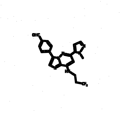 Cn1nccc1-c1cc(NCCC(F)(F)F)c2ncc(-c3ccc(C=O)cc3)n2n1